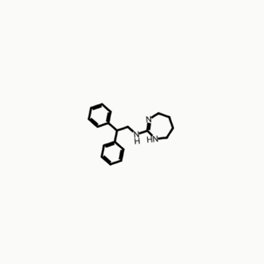 c1ccc(C(CNC2=NCCCCN2)c2ccccc2)cc1